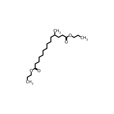 CCCOC(=O)CCCCCCCCCC(C)CCC(=O)OCCC